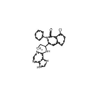 CCC(Nc1ncnc2[nH]cnc12)c1cc2cccc(Cl)c2c(=O)n1-c1ccccc1